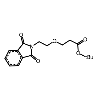 CC(C)(C)OC(=O)CCOCCN1C(=O)c2ccccc2C1=O